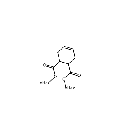 CCCCCCOC(=O)C1CC=CCC1C(=O)OCCCCCC